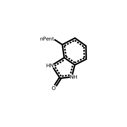 [CH2]CCCCc1cccc2[nH]c(=O)[nH]c12